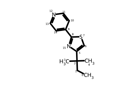 CCC(C)(C)c1csc(-c2ccncc2)n1